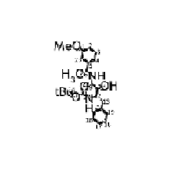 COc1cccc([C@@H](C)NC[C@H](O)[C@H](Cc2ccccc2)NC(=O)OC(C)(C)C)c1